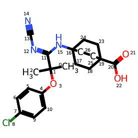 CC(C)(Oc1ccc(Cl)cc1)/C(=N/C#N)NC12CCC(C(=O)O)(CC1)CC2